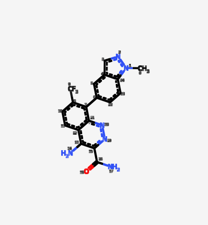 Cn1ncc2cc(-c3c(C(F)(F)F)ccc4c(N)c(C(N)=O)nnc34)ccc21